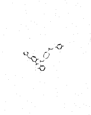 CC(C)Oc1ccccc1-n1c(CN2CCN(C(=O)COc3ccc(Cl)cc3)CC2)nc2ccc(CC3C=CN=C3)cc2c1=O